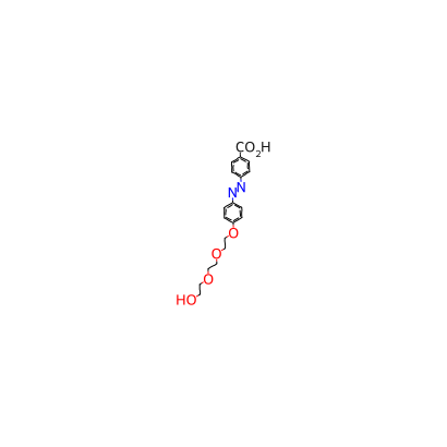 O=C(O)c1ccc(N=Nc2ccc(OCCOCCOCCO)cc2)cc1